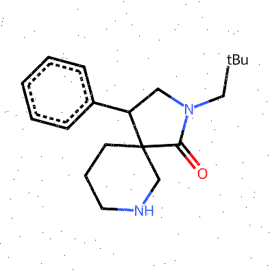 CC(C)(C)CN1CC(c2ccccc2)C2(CCCNC2)C1=O